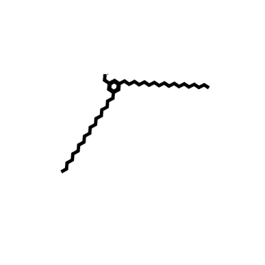 [CH2]Cc1cc(CCCCCCCCCCCCCCCCCC)cc(CCCCCCCCCCCCCCCCCC)c1